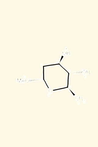 CO[C@@H]1C[C@@H](O)[C@H](O)[C@@H](C)O1